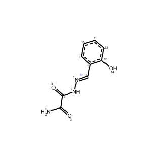 NC(=O)C(=O)N/N=C/c1ccccc1O